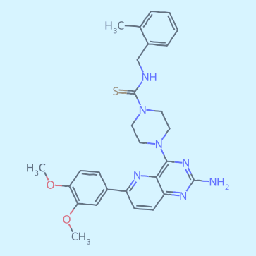 COc1ccc(-c2ccc3nc(N)nc(N4CCN(C(=S)NCc5ccccc5C)CC4)c3n2)cc1OC